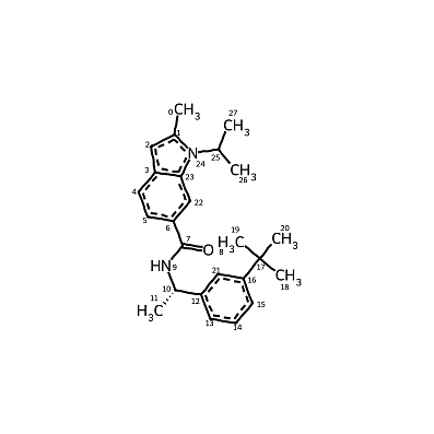 Cc1cc2ccc(C(=O)N[C@@H](C)c3cccc(C(C)(C)C)c3)cc2n1C(C)C